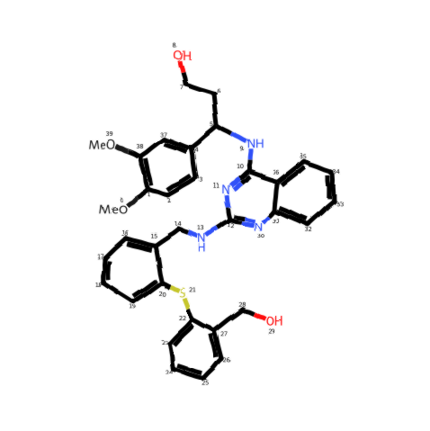 COc1ccc(C(CCO)Nc2nc(NCc3ccccc3Sc3ccccc3CO)nc3ccccc23)cc1OC